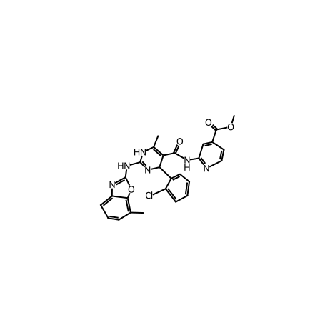 COC(=O)c1ccnc(NC(=O)C2=C(C)NC(Nc3nc4cccc(C)c4o3)=NC2c2ccccc2Cl)c1